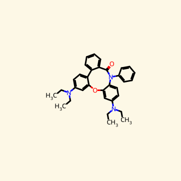 CCN(CC)c1ccc2c(c1)oc1cc(N(CC)CC)ccc1n(-c1ccccc1)c(=O)c1ccccc12